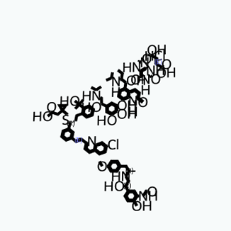 CC(C)(O)c1ccccc1CC[C@@H](SCC1(CC(=O)O)CC1)c1cccc(/C=C/c2ccc3ccc(Cl)cc3n2)c1.CC(C)NCC(O)c1ccc(O)c(O)c1.CCC(NC(C)C)C(O)c1ccc(O)c2[nH]c(=O)ccc12.COc1ccc(C[C@@H](C)NC[C@H](O)c2ccc(O)c(NC=O)c2)cc1.Cl.O=C(O)/C=C/C(=O)O.O=c1[nH]c(=O)c2[nH]cnc2[nH]1